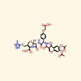 CC(=O)Oc1cc2occ(C(=O)NC(C(=O)N[C@@H]3C(=O)N4C(C(=O)O)=C(CSc5nnnn5C)CS[C@H]34)c3ccc(OCC(=O)O)cc3)c(=O)c2cc1OC(C)=O